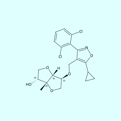 C[C@]12OC[C@H](OCc3c(-c4c(Cl)cccc4Cl)noc3C3CC3)[C@H]1OC[C@H]2O